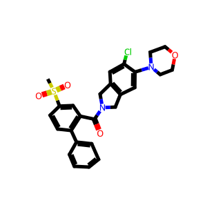 CS(=O)(=O)c1ccc(-c2ccccc2)c(C(=O)N2Cc3cc(Cl)c(N4CCOCC4)cc3C2)c1